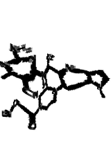 CC[C@H](Nc1nc(N)nc(C)c1C#N)c1nc2ccn(C)c2cc1N1CCN(C(=O)OC(C)(C)C)CC1